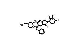 N#CCN1CC[C@H](NCc2ccccc2)C(Oc2ccc3c(c2)CN(C2CCC(=O)NC2=O)C3=O)C1